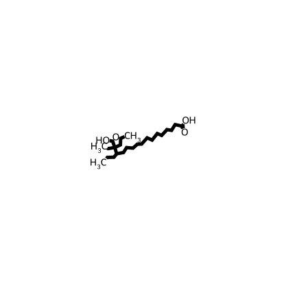 CCCC(CCCCCCCCCCCCC(=O)O)C(CC)(CCC)C(=O)O